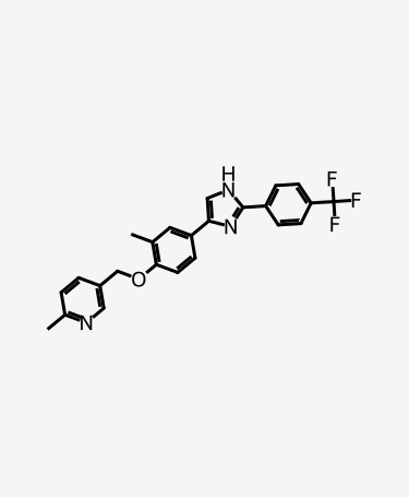 Cc1ccc(COc2ccc(-c3c[nH]c(-c4ccc(C(F)(F)F)cc4)n3)cc2C)cn1